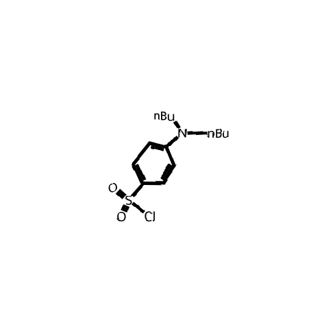 CCCCN(CCCC)c1ccc(S(=O)(=O)Cl)cc1